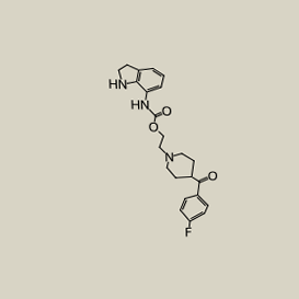 O=C(Nc1cccc2c1NCC2)OCCN1CCC(C(=O)c2ccc(F)cc2)CC1